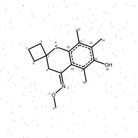 CO/N=C1\CC2(CCC2)Sc2c(C)c(C)c(O)c(C)c21